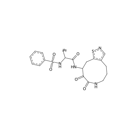 CC(C)C(NS(=O)(=O)c1ccccc1)C(=O)NC1Cc2sncc2CCCNC(=O)C1=O